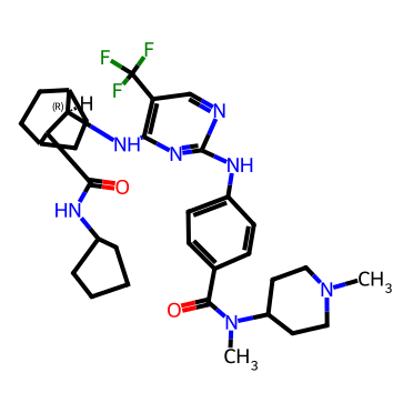 CN1CCC(N(C)C(=O)c2ccc(Nc3ncc(C(F)(F)F)c(N[C@@H]4C5CCC(CC5)C4C(=O)NC4CCCC4)n3)cc2)CC1